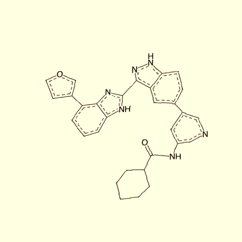 O=C(Nc1cncc(-c2ccc3[nH]nc(-c4nc5c(-c6ccoc6)cccc5[nH]4)c3c2)c1)C1CCCCC1